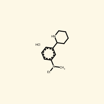 CCN(C)c1cccc(C2CCCCN2)c1.Cl